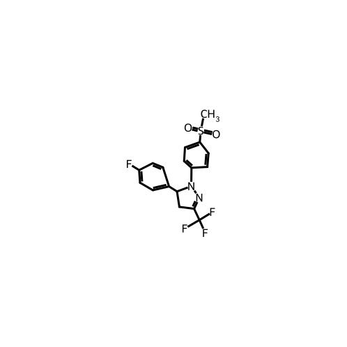 CS(=O)(=O)c1ccc(N2N=C(C(F)(F)F)CC2c2ccc(F)cc2)cc1